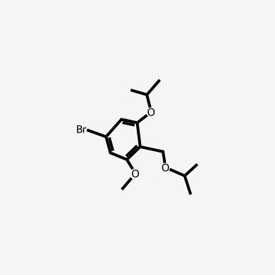 COc1cc(Br)cc(OC(C)C)c1COC(C)C